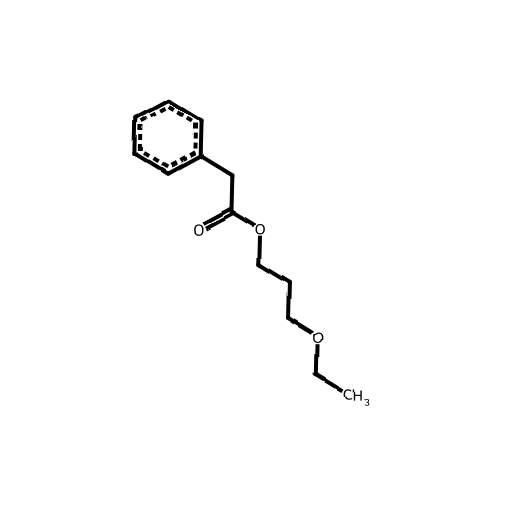 CCOCCCOC(=O)Cc1ccccc1